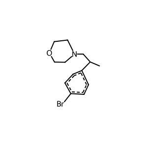 CC(CN1CCOCC1)c1ccc(Br)cc1